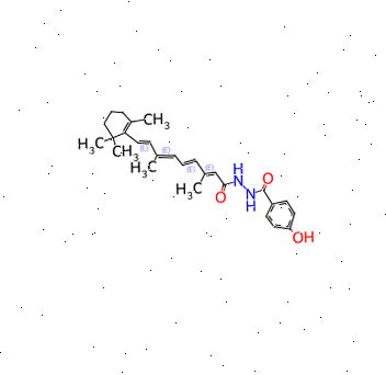 CC1=C(/C=C/C(C)=C/C=C/C(C)=C/C(=O)NNC(=O)c2ccc(O)cc2)C(C)(C)CCC1